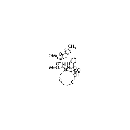 COC[C@H](NC(=O)c1cnc(C)s1)C(=O)N[C@@H](COC)C(=O)N[C@@H](Cc1ccccc1)C1(C(=O)[C@@]2(C)CO2)CCCCCCCCCCCCCC1